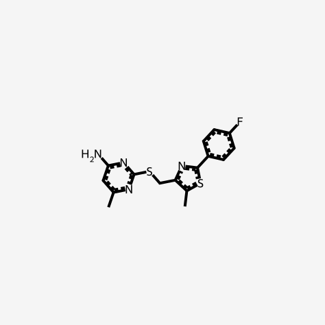 Cc1cc(N)nc(SCc2nc(-c3ccc(F)cc3)sc2C)n1